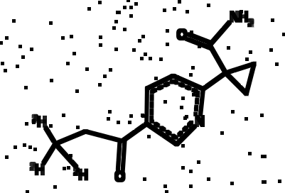 [2H]C([2H])([2H])CC(=O)c1ccc(C2(C(N)=O)CC2)nc1